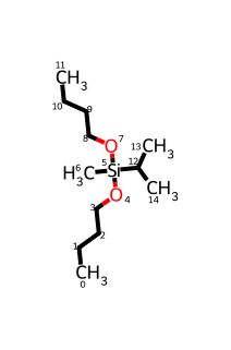 CCCCO[Si](C)(OCCCC)C(C)C